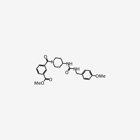 COC(=O)c1cccc(C(=O)N2CCC(NC(=O)NCc3ccc(OC)cc3)CC2)c1